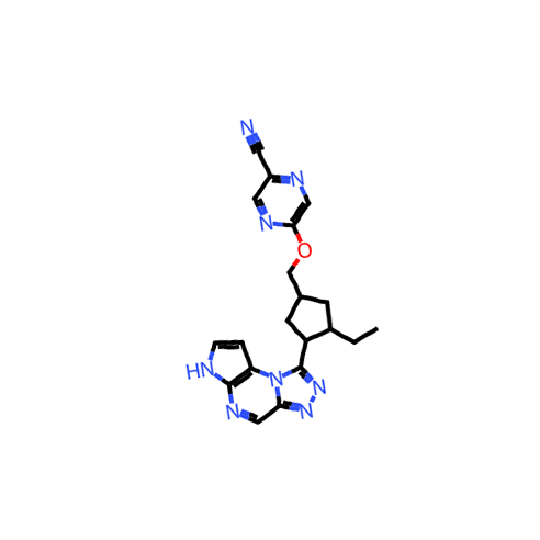 CCC1CC(COc2cnc(C#N)cn2)CC1c1nnc2cnc3[nH]ccc3n12